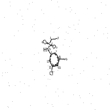 CCS(=O)(=O)Nc1cc(C)cc(Cl)c1